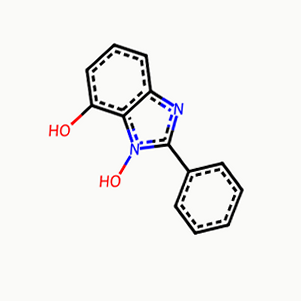 Oc1cccc2nc(-c3ccccc3)n(O)c12